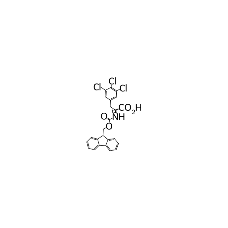 O=C(N[C@@H](Cc1cc(Cl)c(Cl)c(Cl)c1)C(=O)O)OCC1c2ccccc2-c2ccccc21